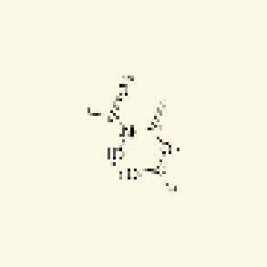 C=C(OC(C)=O)N(O)C(C)=O